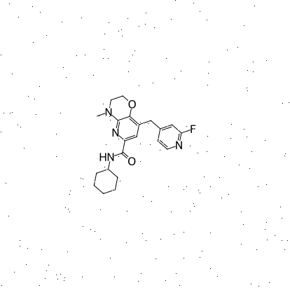 CN1CCOc2c(Cc3ccnc(F)c3)cc(C(=O)NC3CCCCC3)nc21